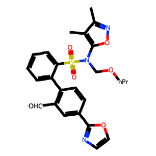 CCCOCN(c1onc(C)c1C)S(=O)(=O)c1ccccc1-c1ccc(-c2ncco2)cc1[C]=O